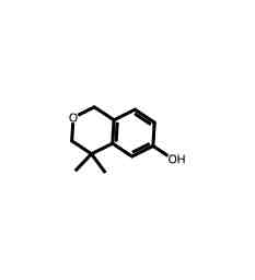 CC1(C)COCc2ccc(O)cc21